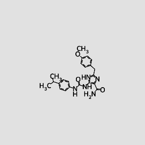 COc1ccc(Cc2nc(C(N)=O)c(NC(=O)Nc3ccc(C(C)C)cc3)[nH]2)cc1